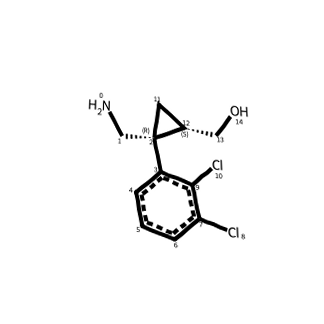 NC[C@]1(c2cccc(Cl)c2Cl)C[C@@H]1CO